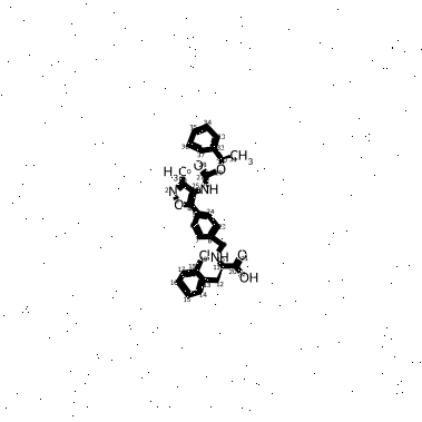 Cc1noc(-c2ccc(CN[C@H](Cc3ccccc3Cl)C(=O)O)cc2)c1NC(=O)O[C@H](C)c1ccccc1